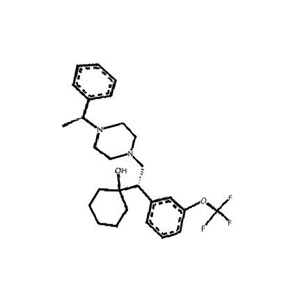 C[C@@H](c1ccccc1)N1CCN(C[C@H](c2cccc(OC(F)(F)F)c2)C2(O)CCCCC2)CC1